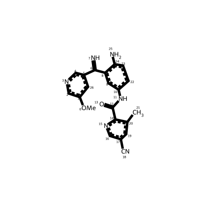 COc1cncc(C(=N)c2cc(NC(=O)c3ncc(C#N)cc3C)ccc2N)c1